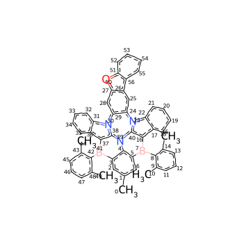 Cc1cc2c3c(c1)B(c1c(C)cccc1C)c1c4ccccc4n4c5cc6c(cc5n5c7ccccc7c(c5n-3c14)B2c1c(C)cccc1C)oc1ccccc16